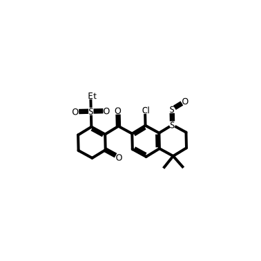 CCS(=O)(=O)C1=C(C(=O)c2ccc3c(c2Cl)S(=S=O)CCC3(C)C)C(=O)CCC1